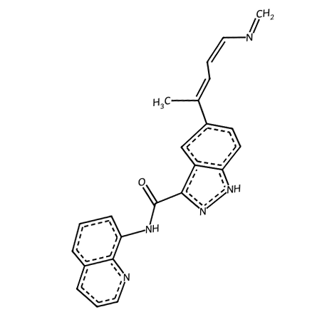 C=N/C=C\C=C(/C)c1ccc2[nH]nc(C(=O)Nc3cccc4cccnc34)c2c1